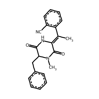 CC(=C1NC(=O)C(Cc2ccccc2)N(C)C1=O)c1ccccc1C#N